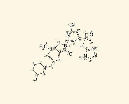 C[C@H]1CCCN(Cc2cc3c(c(C(F)(F)F)c2)CN(c2cc(C4(Cc5nncn5C)COC4)cc(C#N)n2)C3=O)C1